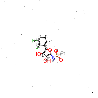 CCS(=O)(=O)N(C)c1oc(-c2cccc(F)c2F)c(O)c1O